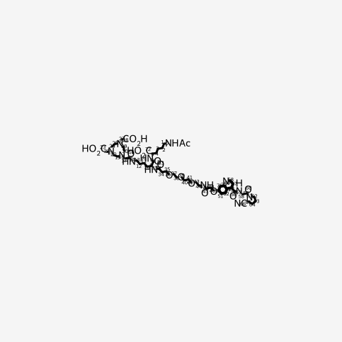 CC(=O)NCCCCC(NC(=O)C(CCCCNC(=O)CN1CCN(CC(=O)O)CCN(CC(=O)O)CC1)NC(=O)CCOCCOCCOCCNC(=O)COc1ccc2c(C(=O)NCC(=O)N3CCCC3C#N)ccnc2c1)C(=O)O